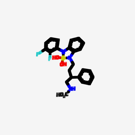 O=C(O)NCC(CCN1c2ccccc2N(c2cccc(F)c2F)S1(O)O)c1ccccc1